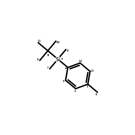 Cc1ccc([Si](C)(C)C(C)(C)C)cc1